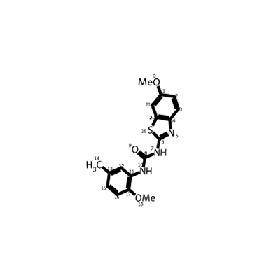 COc1ccc2nc(NC(=O)Nc3cc(C)ccc3OC)sc2c1